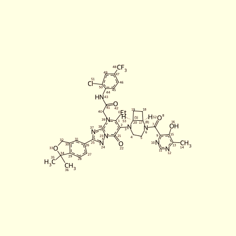 CCc1c(N2CCN(C(=O)c3ncnc(C)c3O)[C@@H]3CC[C@@H]32)c(=O)n2nc(-c3ccc4c(c3)COC4(C)C)nc2n1CC(=O)Nc1ccc(C(F)(F)F)cc1Cl